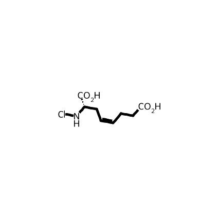 O=C(O)CC/C=C\C[C@H](NCl)C(=O)O